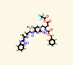 Cc1cn(CC(CC(=O)OC(=O)C(F)(F)F)NC(=O)OCc2ccccc2)c(=O)nc1NCc1nc(-c2nc3ccccc3[nH]2)cs1